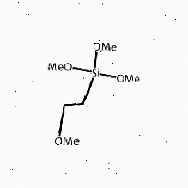 [CH2]OCC[Si](OC)(OC)OC